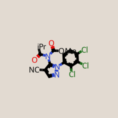 COC(=O)N(C(=O)C(C)C)c1c(C#N)cnn1-c1ccc(Cl)c(Cl)c1Cl